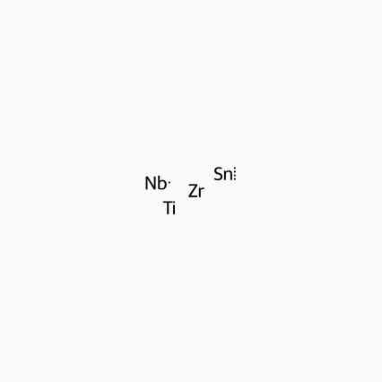 [Nb].[Sn].[Ti].[Zr]